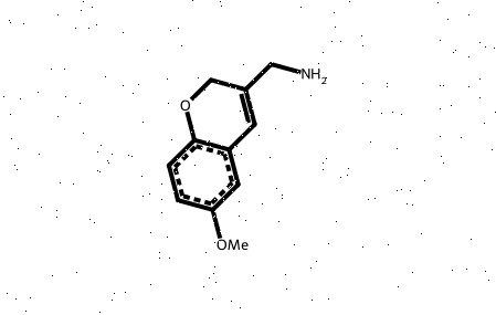 COc1ccc2c(c1)C=C(CN)CO2